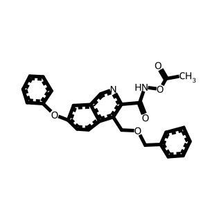 CC(=O)ONC(=O)c1ncc2cc(Oc3ccccc3)ccc2c1COCc1ccccc1